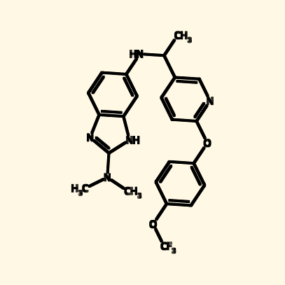 CC(Nc1ccc2nc(N(C)C)[nH]c2c1)c1ccc(Oc2ccc(OC(F)(F)F)cc2)nc1